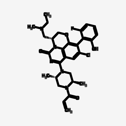 C=CC(=O)N1C[C@H](C)N(c2nc(=O)n3c4c(c(-c5c(O)cccc5F)c(Cl)cc24)OC[C@H]3CN(C)CC)C[C@H]1C